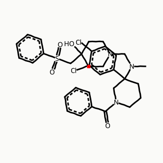 CN(CN1CCC(O)(CS(=O)(=O)c2ccccc2)CC1)C1(c2ccc(Cl)c(Cl)c2)CCCN(C(=O)c2ccccc2)C1